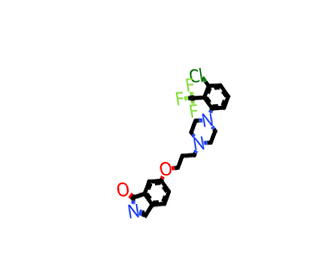 O=C1N=Cc2ccc(OCCCN3CCN(c4cccc(Cl)c4C(F)(F)F)CC3)cc21